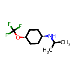 CC(C)N[C@H]1CC[C@@H](OC(F)(F)F)CC1